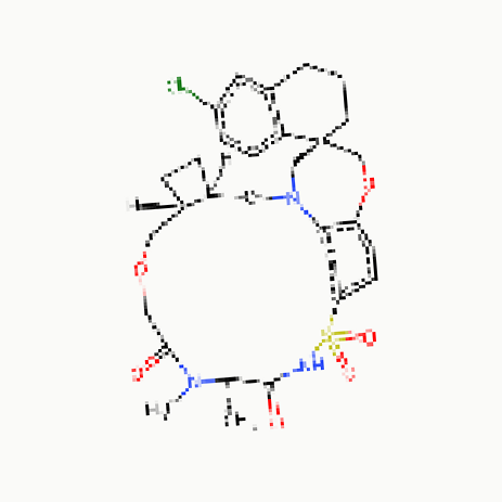 C[C@H]1C(=O)NS(=O)(=O)c2ccc3c(c2)N(C[C@@H]2CC[C@H]2COCC(=O)N1C)C[C@@]1(CCCc2cc(Cl)ccc21)CO3